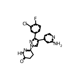 Nc1cc(-c2cn(C3=NNC(=O)CC3)nc2-c2ccc(F)c(Cl)c2)ccn1